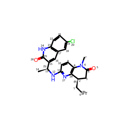 CC(C)C[C@@H]1CC(=O)N(C)c2ccc(N[C@@H](C)c3cc4cc(Cl)ccc4[nH]c3=O)nc21